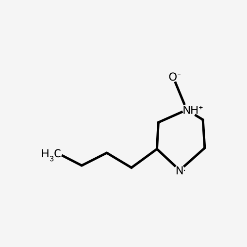 CCCCC1C[NH+]([O-])CC[N]1